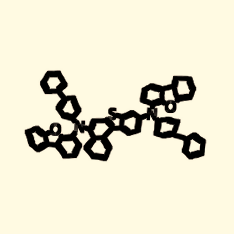 c1ccc(-c2ccc(N(c3ccc4c(c3)sc3cc(N(c5ccc(-c6ccccc6)cc5)c5cccc6c5oc5ccccc56)c5ccccc5c34)c3cccc4c3oc3ccccc34)cc2)cc1